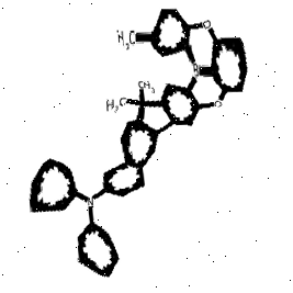 Cc1ccc2c(c1)B1c3cc4c(cc3Oc3cccc(c31)O2)-c1cc2ccc(N(c3ccccc3)c3ccccc3)cc2cc1C4(C)C